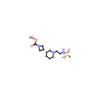 CC(C)(C)OC(=O)N1CC([C@H]2CCCN(CCNS(C)(=O)=O)C2)C1